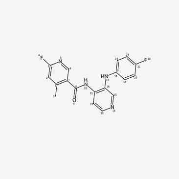 Cc1cc(F)ncc1C(=O)Nc1ccncc1Nc1ccc(F)cc1